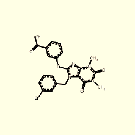 CCCC(=O)c1cccc(Oc2nc3c(c(=O)n(C)c(=O)n3C)n2Cc2cccc(Br)c2)c1